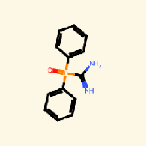 N=C(N)P(=O)(c1ccccc1)c1ccccc1